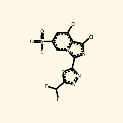 O=S(=O)(Cl)c1cc(Cl)c2c(Cl)nc(-c3nnc(C(F)F)s3)n2c1